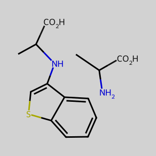 CC(N)C(=O)O.CC(Nc1csc2ccccc12)C(=O)O